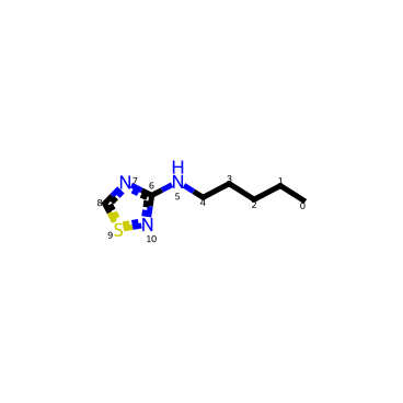 CCCCCNc1ncsn1